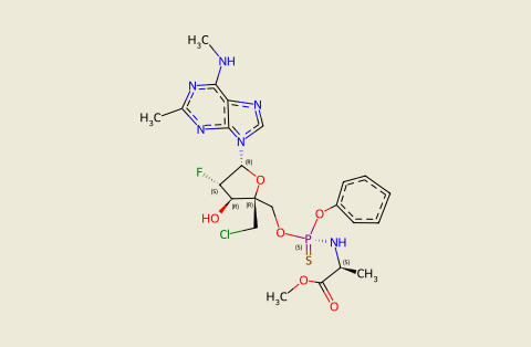 CNc1nc(C)nc2c1ncn2[C@@H]1O[C@](CCl)(CO[P@@](=S)(N[C@@H](C)C(=O)OC)Oc2ccccc2)[C@@H](O)[C@@H]1F